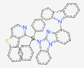 c1ccc([Si](c2ccccc2)(c2nccc3sc4ccccc4c23)n2c3ccccc3n3c4cccc(-n5c6ccccc6c6ccccc65)c4nc23)cc1